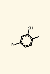 Cc1ccc(C(C)C)cc1S